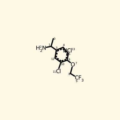 CC(N)c1ccc(OCC(F)(F)F)c(Cl)c1.Cl